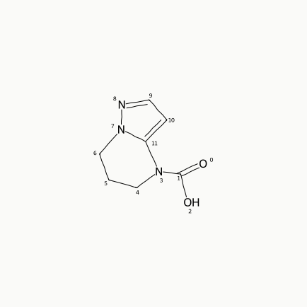 O=C(O)N1CCCn2nccc21